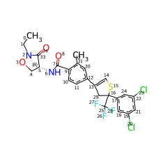 CCN1OC[C@@H](NC(=O)c2ccc(C3=CSC(c4cc(Cl)cc(Cl)c4)(C(F)(F)F)C3)cc2C)C1=O